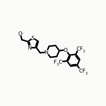 [O]Cc1nc(CN2CCC(Oc3c(C(F)(F)F)cc(C(F)(F)F)cc3C(F)(F)F)CC2)cs1